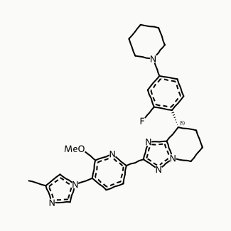 COc1nc(-c2nc3n(n2)CCC[C@H]3c2ccc(N3CCCCC3)cc2F)ccc1-n1cnc(C)c1